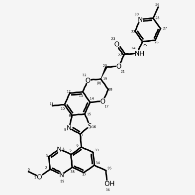 COc1cnc2c(-c3nc4c(C)cc5c(c4s3)OC[C@H](COC(=O)Nc3ccc(C)nc3)O5)cc(CO)cc2n1